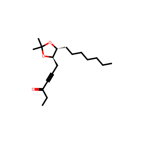 CCCCCCC[C@H]1OC(C)(C)O[C@@H]1CC#CC(=O)CC